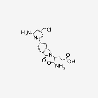 NC(=O)C(CCC(=O)O)N1Cc2cc(-c3cc(CCl)cc(N)n3)ccc2C1=O